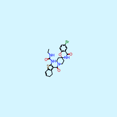 CCNC(=O)Nc1sc2c(c1C(=O)N1CCC3(CC1)NC(=O)c1cc(Br)ccc1O3)CCC=C2